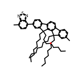 CCCCCCCCC1(CCCCCCCC)c2cc(C)ccc2-c2ccc3c(c21)C(CCCCCCCC)(CCCCCCCC)c1cc(-c2ccc(C)c4nsnc24)ccc1-3